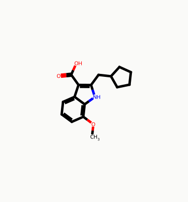 COc1cccc2c(C(=O)O)c(CC3CCCC3)[nH]c12